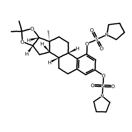 CC1(C)O[C@H]2C[C@H]3[C@H]4CCc5cc(OS(=O)(=O)N6CCCC6)cc(OS(=O)(=O)N6CCCC6)c5[C@H]4CC[C@]3(C)[C@H]2O1